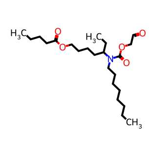 CCCCCCCCN(C(=O)OCC=O)C(CC)CCCCOC(=O)CCCC